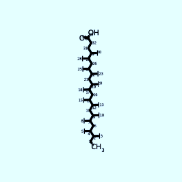 CCC(I)C(I)CC(I)C(I)CC(I)C(I)CC(I)C(I)CC(I)C(I)CC(I)C(I)CCC(=O)O